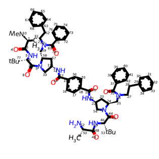 CN[C@@H](C)C(=O)N[C@H](C(=O)N1C[C@@H](NC(=O)c2ccc(C(=O)N[C@H]3C[C@@H](CN(CCc4ccccc4)C(=O)c4ccccc4)N(C(=O)[C@@H](NC(=O)[C@H](C)N)C(C)(C)C)C3)cc2)C[C@H]1CN(CCc1ccccc1)C(=O)c1ccccc1)C(C)(C)C